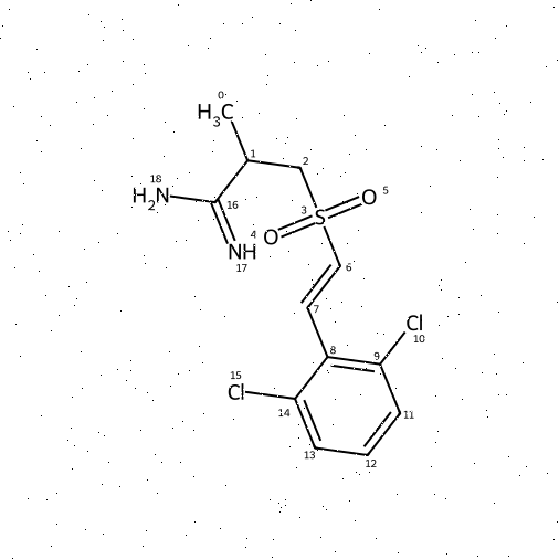 CC(CS(=O)(=O)C=Cc1c(Cl)cccc1Cl)C(=N)N